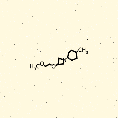 COCCOC1CN([C@H]2CC[C@H](C)CC2)C1